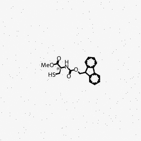 COC(=O)[C@H](CS)NC(=O)OCC1c2ccccc2-c2ccccc21